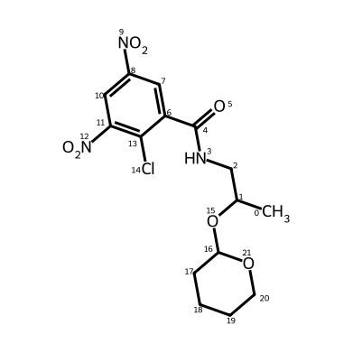 CC(CNC(=O)c1cc([N+](=O)[O-])cc([N+](=O)[O-])c1Cl)OC1CCCCO1